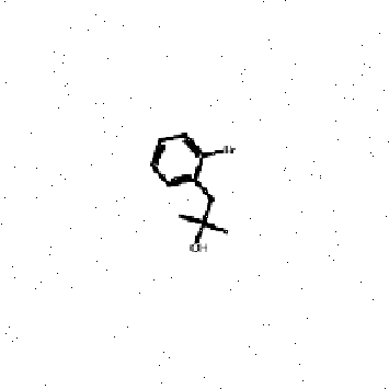 CC(C)(O)Cc1ccccc1Br